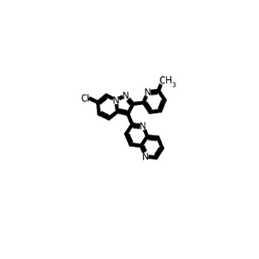 Cc1cccc(-c2nn3cc(Cl)ccc3c2-c2ccc3ncccc3n2)n1